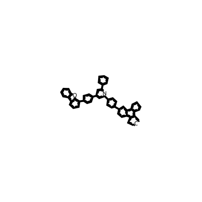 c1ccc(-c2cc(-c3ccc(-c4cccc5c4oc4ccccc45)cc3)cc(-c3ccc(-c4ccc5c6ccccc6c6ccccc6c5c4)cc3)n2)cc1